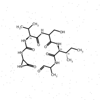 CC[C@H](C)[C@H](NC(=O)C(CO)NC(=O)[C@@H](NC(=O)NC1NC1=O)C(C)C)C(=O)NC(C)C=O